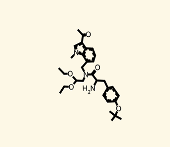 CCOC(CN(Cc1cccc2c(C(C)=O)cn(C)c12)C(=O)C(N)Cc1ccc(OC(C)(C)C)cc1)OCC